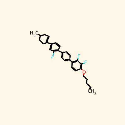 C=CCCCOc1ccc(-c2ccc(-c3ccc(C4=CCC(C)CC4)cc3F)cc2)c(F)c1F